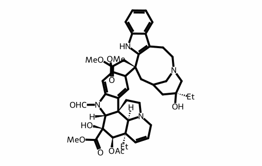 CC[C@]1(O)CC2CN(CCc3c([nH]c4ccccc34)[C@@](CC(=O)OC)(C3C=C4C(=CC3OC)N(C=O)[C@H]3[C@@](O)(C(=O)OC)[C@H](OC(C)=O)[C@]5(CC)C=CCN6CC[C@]43[C@@H]65)C2)C1